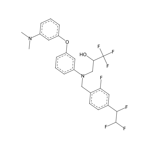 CN(C)c1cccc(Oc2cccc(N(Cc3ccc(C(F)C(F)F)cc3F)CC(O)C(F)(F)F)c2)c1